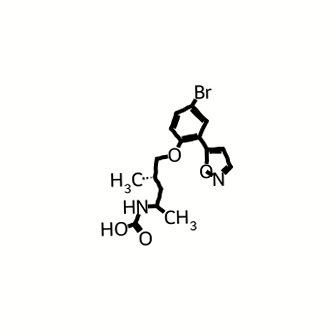 CC(C[C@H](C)COc1ccc(Br)cc1-c1ccno1)NC(=O)O